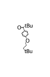 CC(C)(C)CCCOc1ccc(C(=O)C(C)(C)C)cc1